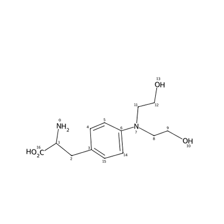 NC(Cc1ccc(N(CCO)CCO)cc1)C(=O)O